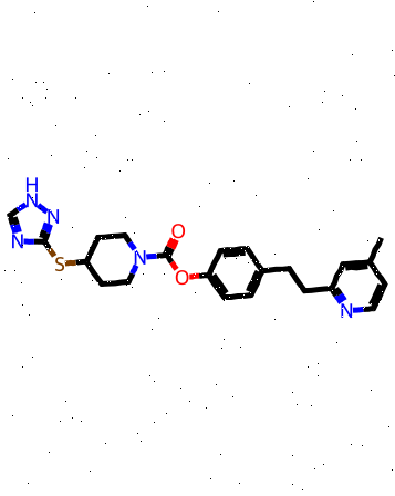 Cc1ccnc(CCc2ccc(OC(=O)N3CCC(Sc4nc[nH]n4)CC3)cc2)c1